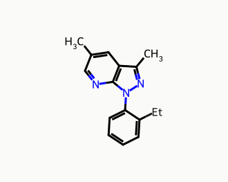 CCc1ccccc1-n1nc(C)c2cc(C)cnc21